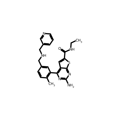 CCNC(=O)c1cc2c(-c3cc(CNCc4cccnc4)ccc3C)nc(N)nc2s1